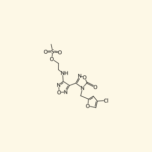 CS(=O)(=O)OCCNc1nonc1-c1noc(=O)n1Cc1cc(Cl)co1